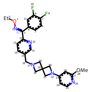 CCO/N=C(\c1ccc(F)c(F)c1)c1ccc(CN2CC3(C2)CN(c2ccnc(OC)c2)C3)cn1